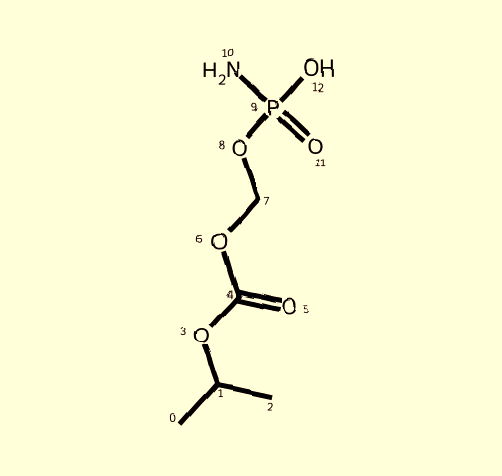 CC(C)OC(=O)OCOP(N)(=O)O